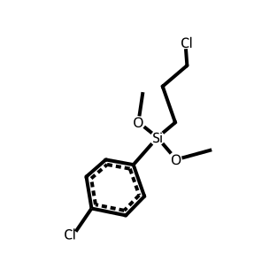 CO[Si](CCCCl)(OC)c1ccc(Cl)cc1